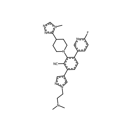 CN(C)CCn1cc(-c2ccc(-c3ccc(F)nc3)c(N3CCC(c4nncn4C)CC3)c2C#N)cn1